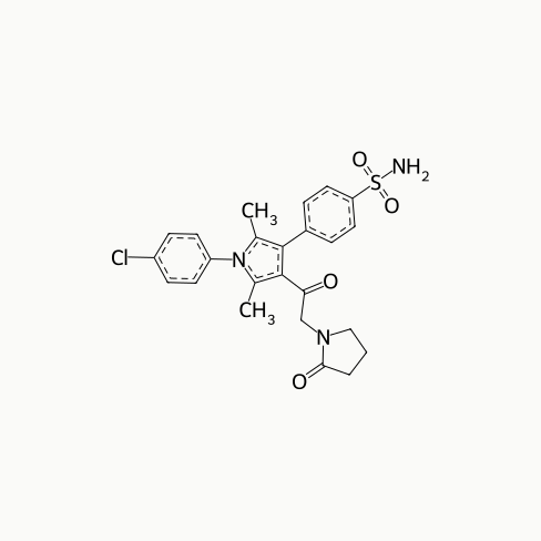 Cc1c(C(=O)CN2CCCC2=O)c(-c2ccc(S(N)(=O)=O)cc2)c(C)n1-c1ccc(Cl)cc1